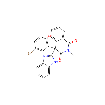 CN1C(=O)c2ccccc2C(c2nc3ccccc3[nH]2)(c2cc(Br)ccc2O)C1=O